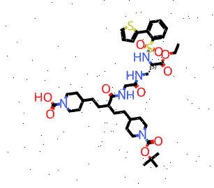 CCOC(=O)[C@H](CNC(=O)CNC(=O)C(CCC1CCN(C(=O)O)CC1)CCC1CCN(C(=O)OC(C)(C)C)CC1)NS(=O)(=O)c1ccccc1-c1cccs1